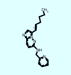 CCCC/C=C/c1cnc2ccc(NCc3ccccn3)nn12